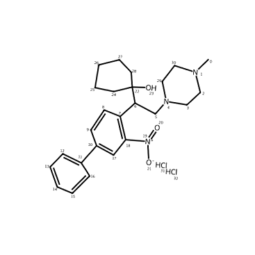 CN1CCN(CC(c2ccc(-c3ccccc3)cc2[N+](=O)[O-])C2(O)CCCCC2)CC1.Cl.Cl